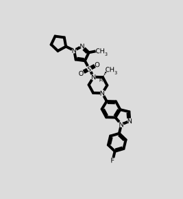 Cc1nn(C2CCCC2)cc1S(=O)(=O)N1CCN(c2ccc3c(cnn3-c3ccc(F)cc3)c2)C[C@H]1C